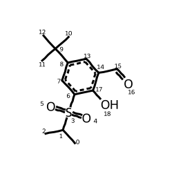 CC(C)S(=O)(=O)c1cc(C(C)(C)C)cc(C=O)c1O